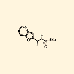 CC(N[S@@+]([O-])C(C)(C)C)c1cc2ncccc2o1